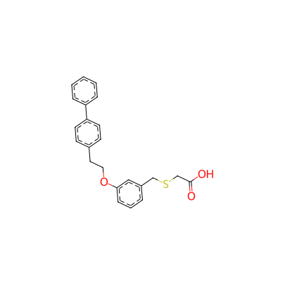 O=C(O)CSCc1cccc(OCCc2ccc(-c3ccccc3)cc2)c1